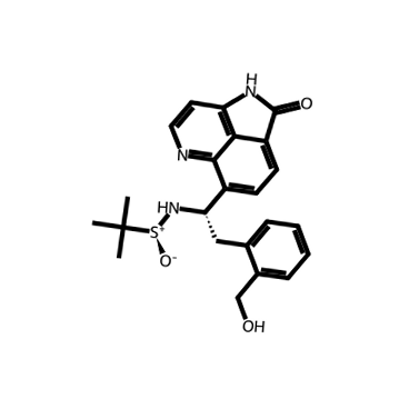 CC(C)(C)[S@+]([O-])N[C@@H](Cc1ccccc1CO)c1ccc2c3c(ccnc13)NC2=O